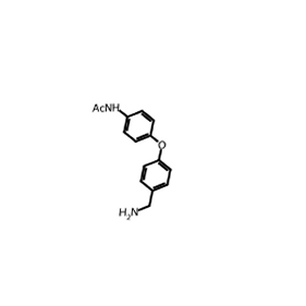 CC(=O)Nc1ccc(Oc2ccc(CN)cc2)cc1